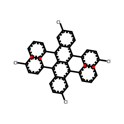 Clc1ccc(-c2c3ccc(Cl)cc3c(-c3ccccc3)c3c(-c4ccc(Cl)cc4)c4ccc(Cl)cc4c(-c4ccccc4)c23)cc1